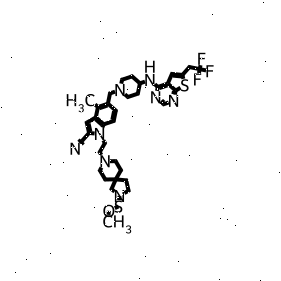 COSN1CCC2(CCN(CCn3c(C#N)cc4c(C)c(CN5CCC(Nc6ncnc7sc(CC(F)(F)F)cc67)CC5)ccc43)CC2)C1